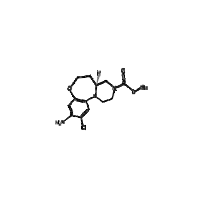 CC(C)(C)OC(=O)N1CCN2c3cc(Cl)c(N)cc3OCC[C@H]2C1